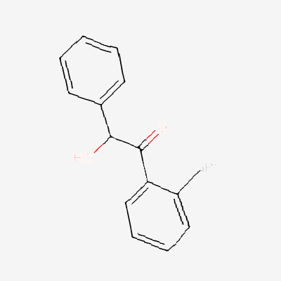 CC(C)c1ccccc1C(=O)C(O)c1ccccc1